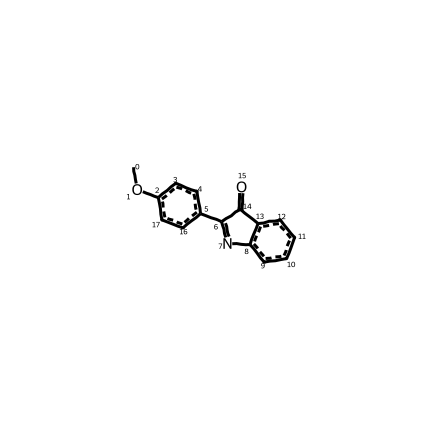 COc1ccc(C2=Nc3ccccc3C2=O)cc1